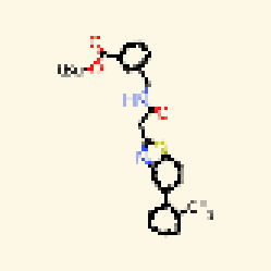 CC(C)(C)OC(=O)c1cccc(CNC(=O)Cc2nc3cc(-c4ccccc4C(F)(F)F)ccc3s2)c1